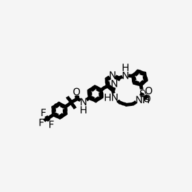 CC(C)(C(=O)Nc1ccc(-c2cnc3nc2NCCCNS(=O)(=O)c2cccc(c2)N3)cc1)c1ccc(C(F)(F)F)cc1